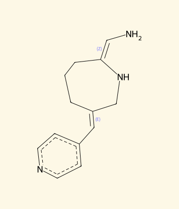 N/C=C1/CCC/C(=C\c2ccncc2)CN1